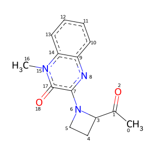 CC(=O)C1CCN1c1nc2ccccc2n(C)c1=O